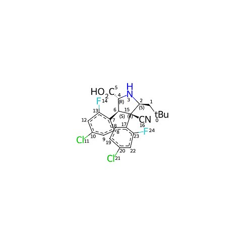 CC(C)(C)C[C@@H]1N[C@@H](C(=O)O)[C@H](c2ccc(Cl)cc2F)[C@@]1(C#N)c1ccc(Cl)cc1F